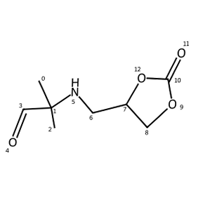 CC(C)(C=O)NCC1COC(=O)O1